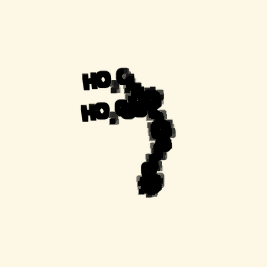 O=C(O)CCCN1CC(OC(=O)O)Oc2c(CCc3ccc(OCCCCOc4ccccc4)cc3)cccc21